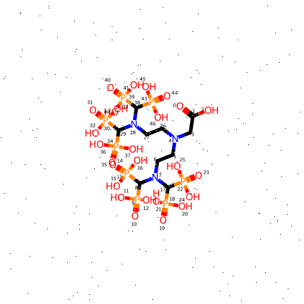 O=C(O)CN(CCN(C(P(=O)(O)O)P(=O)(O)O)C(P(=O)(O)O)P(=O)(O)O)CCN(C(P(=O)(O)O)P(=O)(O)O)C(P(=O)(O)O)P(=O)(O)O